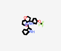 O=C(N[C@]1(c2ccc(OC(F)(F)F)cc2)CCOc2cccnc21)c1c[nH]c2ccccc12